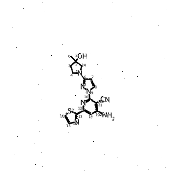 CC1(O)CCN(c2ccn(-c3nc(-c4nccs4)cc(N)c3C#N)n2)C1